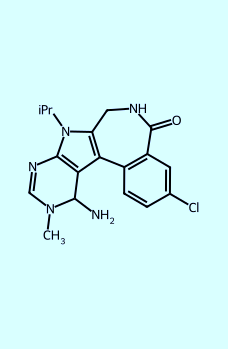 CC(C)n1c2c(c3c1N=CN(C)C3N)-c1ccc(Cl)cc1C(=O)NC2